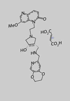 COc1cnc2ccc(=O)n(CCN3C[C@H](CNCc4cc5c(cn4)OCCO5)[C@H](O)C3)c2c1.O=C(O)/C=C/C(=O)O